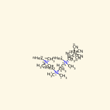 CCCCCC[N+](C)(C)C.CCCCCC[N+](C)(C)C.CCCCCC[N+](C)(C)C.N#[C][Fe-3]([C]#N)([C]#N)([C]#N)([C]#N)[C]#N